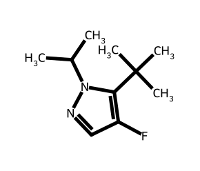 CC(C)n1ncc(F)c1C(C)(C)C